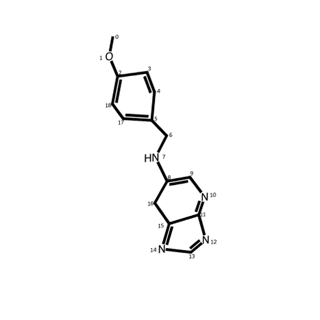 COc1ccc(CNC2=CN=C3N=CN=C3C2)cc1